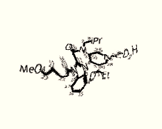 CCC(=O)[C@@H]1C[C@H](N(CC(C)C)C(=O)c2nc3ccccc3n2CCCCOC)CN(C(=O)O)C1